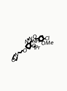 COc1cc(C(=O)Nc2ncnc3cc(OCCCN4CCOCC4)cc(OC(C)C)c23)ccc1Cl